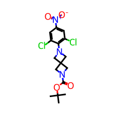 CC(C)(C)OC(=O)N1CC2(C1)CN(c1c(Cl)cc([N+](=O)[O-])cc1Cl)C2